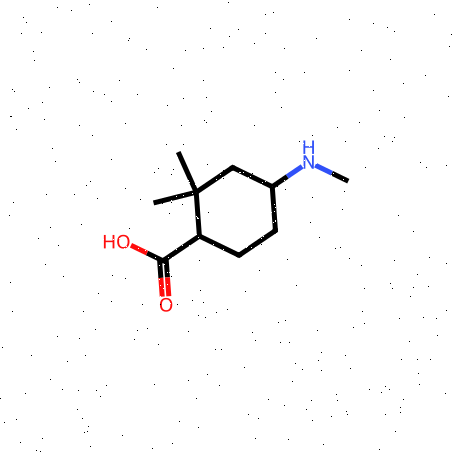 CNC1CCC(C(=O)O)C(C)(C)C1